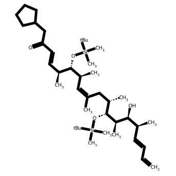 C=CC=C[C@H](C)[C@H](O)[C@@H](C)[C@H](O[Si](C)(C)C(C)(C)C)[C@@H](C)CC(C)=C[C@H](C)[C@@H](O[Si](C)(C)C(C)(C)C)[C@@H](C)C=CC(=O)CC1CCCC1